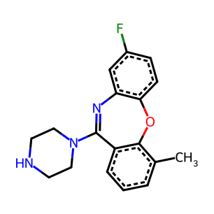 Cc1cccc2c1Oc1ccc(F)cc1N=C2N1CCNCC1